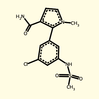 Cn1ccc(C(N)=O)c1-c1cc(Cl)cc(NS(C)(=O)=O)c1